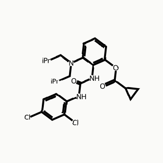 CC(C)CN(CC(C)C)c1cccc(OC(=O)C2CC2)c1NC(=O)Nc1ccc(Cl)cc1Cl